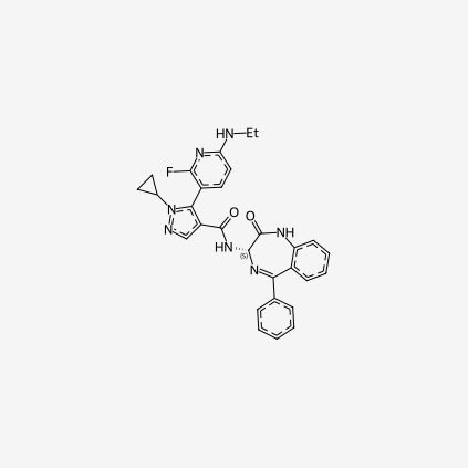 CCNc1ccc(-c2c(C(=O)N[C@H]3N=C(c4ccccc4)c4ccccc4NC3=O)cnn2C2CC2)c(F)n1